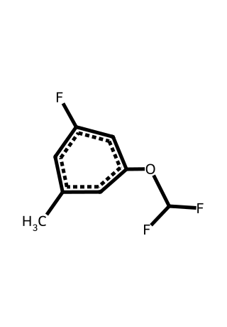 Cc1cc(F)cc(OC(F)F)c1